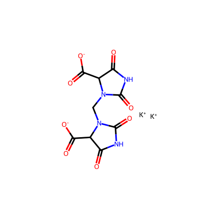 O=C([O-])C1C(=O)NC(=O)N1CN1C(=O)NC(=O)C1C(=O)[O-].[K+].[K+]